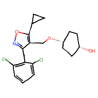 O[C@H]1CC[C@@H](OCc2c(-c3c(Cl)cccc3Cl)noc2C2CC2)CC1